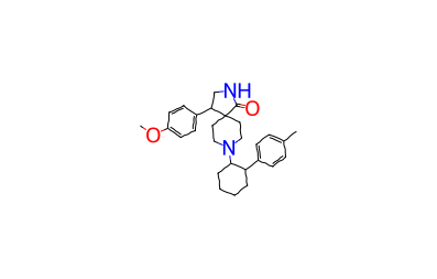 COc1ccc(C2CNC(=O)C23CCN(C2CCCCC2c2ccc(C)cc2)CC3)cc1